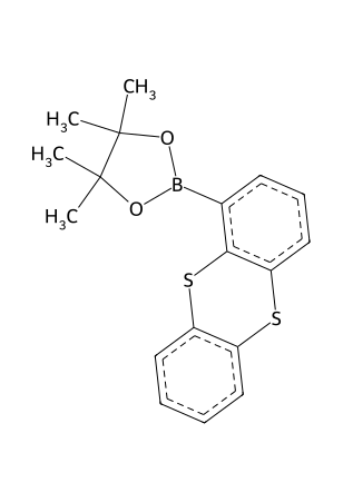 CC1(C)OB(c2cccc3c2Sc2ccccc2S3)OC1(C)C